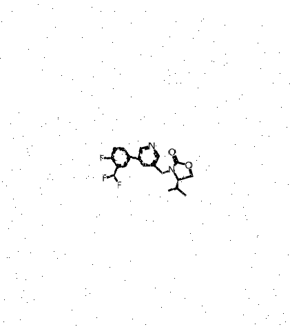 CC(C)[C@@H]1COC(=O)N1Cc1cncc(-c2ccc(F)c(C(F)F)c2)c1